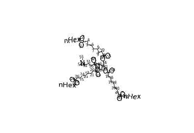 CCCCCCOC(=O)CCCCCCCC(=O)OCC(COC(=O)CCCCCCCC(=O)OCCCCCC)(COC(=O)CCCCCCCC(=O)OCCCCCC)COC(=O)CCCN(C)C